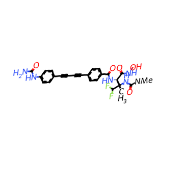 CNC(=O)NC(C)(C(F)F)[C@H](NC(=O)c1ccc(C#CC#Cc2ccc(NC(N)=O)cc2)cc1)C(=O)NO